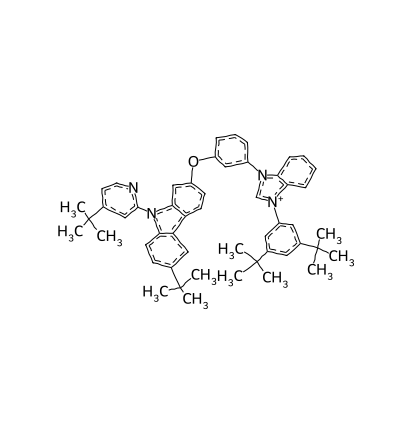 CC(C)(C)c1cc(-[n+]2cn(-c3cccc(Oc4ccc5c6cc(C(C)(C)C)ccc6n(-c6cc(C(C)(C)C)ccn6)c5c4)c3)c3ccccc32)cc(C(C)(C)C)c1